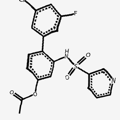 CC(=O)Oc1ccc(-c2cc(F)cc(Cl)c2)c(NS(=O)(=O)c2cccnc2)c1